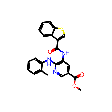 COC(=O)c1cnc(Nc2ccccc2C)c(NC(=O)c2csc3ccccc23)c1